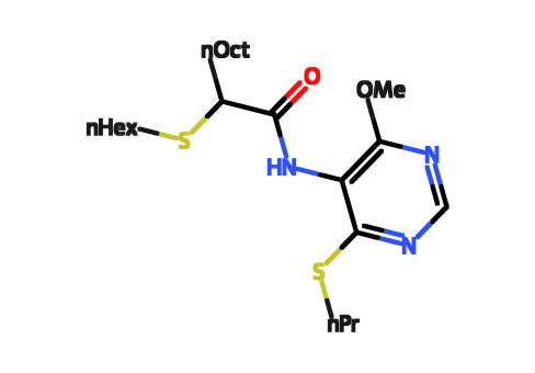 CCCCCCCCC(SCCCCCC)C(=O)Nc1c(OC)ncnc1SCCC